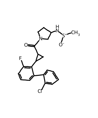 C[S+]([O-])NC1CCN(C(=O)C2CC2c2c(F)cccc2-c2ccccc2Cl)C1